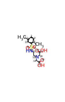 Cc1ccc(C)c(S(=O)(=O)NCCN(CC(=O)O)CC(=O)O)c1